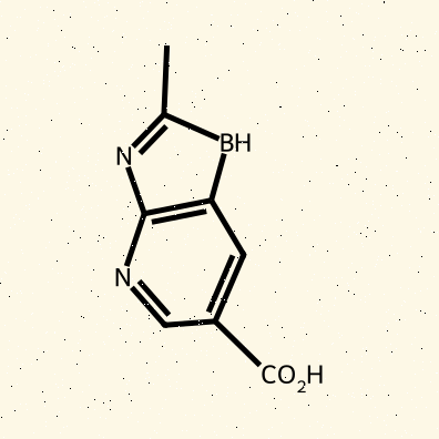 CC1=Nc2ncc(C(=O)O)cc2B1